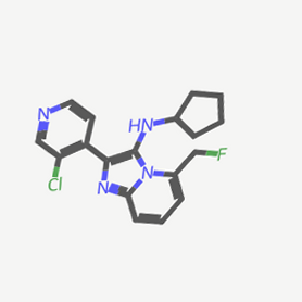 FCc1cccc2nc(-c3ccncc3Cl)c(NC3CCCC3)n12